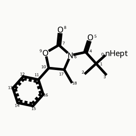 CCCCCCCC(C)(C)C(=O)N1C(=O)OC(c2ccccc2)C1C